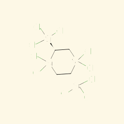 Cl[Si](Cl)(Cl)[C@H]1C[Si](Cl)(Cl)[C@H]([Si](Cl)(Cl)Cl)C[Si]1(Cl)Cl